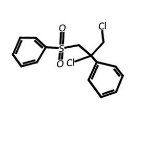 O=S(=O)(CC(Cl)(CCl)c1ccccc1)c1ccccc1